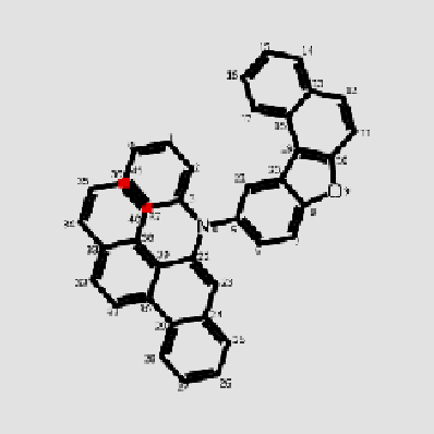 c1ccc(N(c2ccc3oc4ccc5ccccc5c4c3c2)c2cc3ccccc3c3ccc4ccccc4c23)cc1